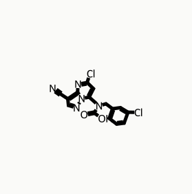 N#Cc1cnn2c(N(Cc3cccc(Cl)c3)C(=O)O)cc(Cl)nc12